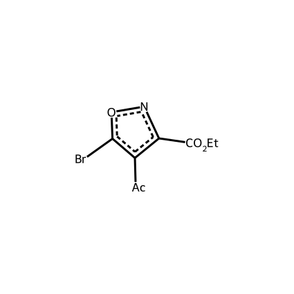 CCOC(=O)c1noc(Br)c1C(C)=O